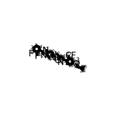 Fc1cccc(-c2nc3cnn(Cc4cc(-c5ccc(OCC6CC6)cc5C(F)(F)F)no4)cc-3n2)c1F